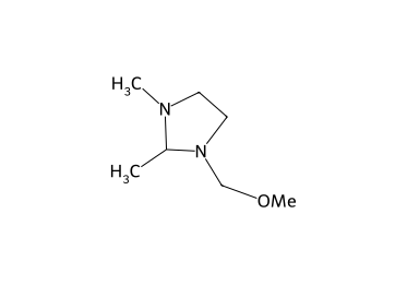 COCN1CCN(C)C1C